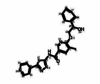 Cc1cc(C(=O)Nc2nnc(-c3ccncc3)s2)cnc1OC[C@H](O)c1ccccc1